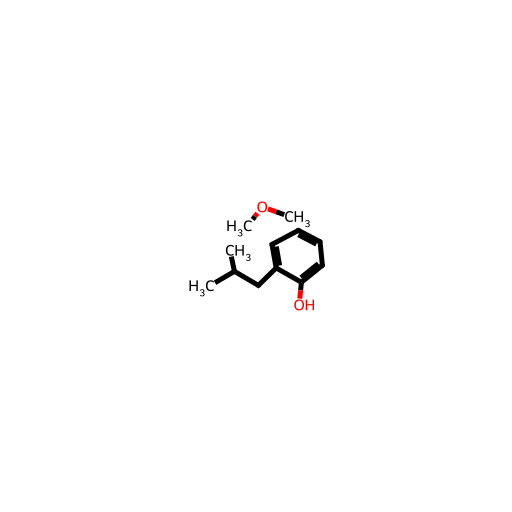 CC(C)Cc1ccccc1O.COC